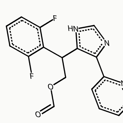 O=COCC(c1[nH]cnc1-c1ccccn1)c1c(F)cccc1F